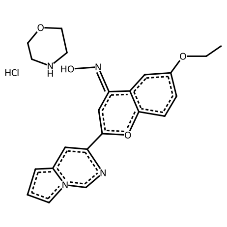 C1COCCN1.CCOc1ccc2oc(-c3cc4cccn4cn3)cc(=NO)c2c1.Cl